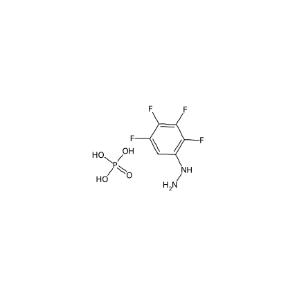 NNc1cc(F)c(F)c(F)c1F.O=P(O)(O)O